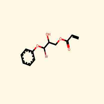 C=CC(=O)OCC(O)C(Br)Oc1ccccc1